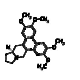 COc1cc2c3c(c4cc(OC)c(OC)cc4c2cc1OC)CN1CCC[C@H]1C3